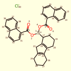 O=C([O][Ti+]([O]C(=O)c1cccc2ccccc12)[CH]1CCCC2=C1CC1=C2CCCC1)c1cccc2ccccc12.[Cl-]